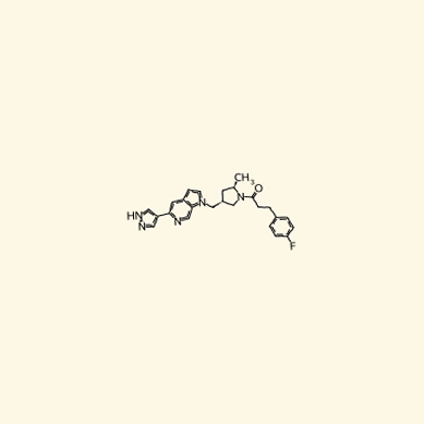 C[C@@H]1C[C@H](Cn2ccc3cc(-c4cn[nH]c4)ncc32)CN1C(=O)CCc1ccc(F)cc1